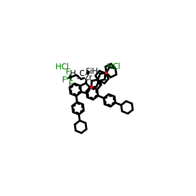 Cl.Cl.[CH3][Zr](=[SiH2])([CH2]CC(F)(F)F)([CH]1C(CC23CCC(CC2)C3)=Cc2c(-c3ccc(C4CCCCC4)cc3)cccc21)[CH]1C(CC23CCC(CC2)C3)=Cc2c(-c3ccc(C4CCCCC4)cc3)cccc21